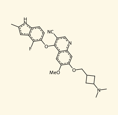 COc1cc2c(Oc3ccc4[nH]c(C)cc4c3F)c(C#N)cnc2cc1OCC1CC(N(C)C)C1